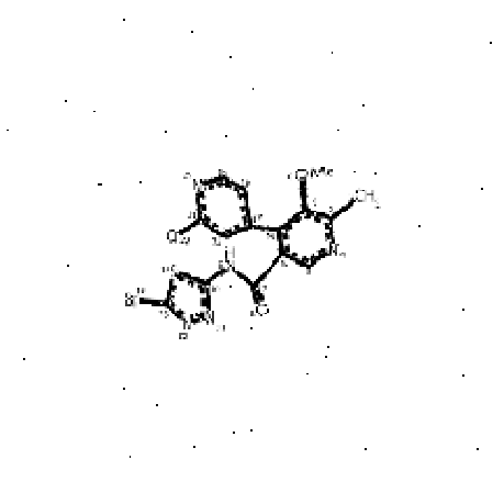 COc1c(C)ncc(C(=O)Nc2nnc(Br)s2)c1-c1ccnc(Cl)c1